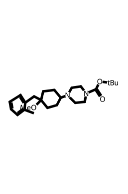 COC1(Cc2ccccc2C)CCC(N2CCN(C(=O)OC(C)(C)C)CC2)CC1